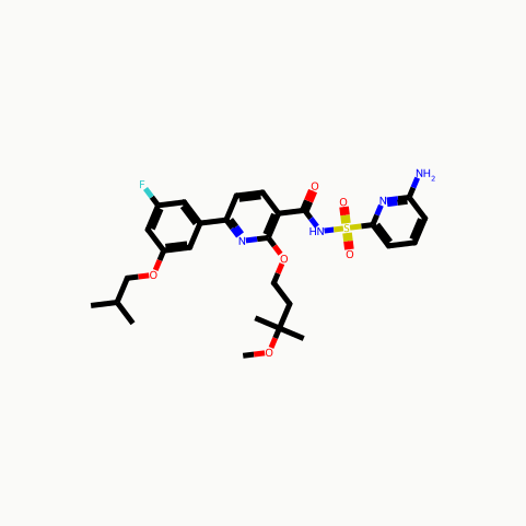 COC(C)(C)CCOc1nc(-c2cc(F)cc(OCC(C)C)c2)ccc1C(=O)NS(=O)(=O)c1cccc(N)n1